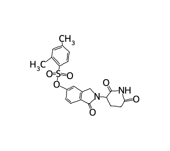 Cc1ccc(S(=O)(=O)Oc2ccc3c(c2)CN(C2CCC(=O)NC2=O)C3=O)c(C)c1